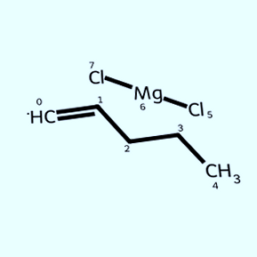 [CH]=CCCC.[Cl][Mg][Cl]